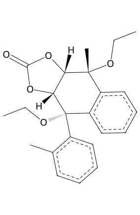 CCO[C@@]1(c2ccccc2C)c2ccccc2[C@@](C)(OCC)[C@H]2OC(=O)O[C@H]21